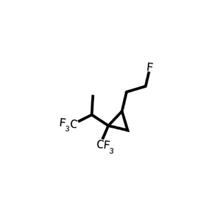 CC(C(F)(F)F)C1(C(F)(F)F)CC1CCF